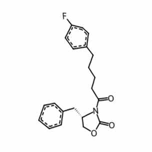 O=C(CCCCc1ccc(F)cc1)N1C(=O)OC[C@@H]1Cc1ccccc1